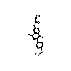 C=CC(=O)Oc1ccc2c(c1)C(=O)C=C(c1ccc(OC)cc1)C2=O